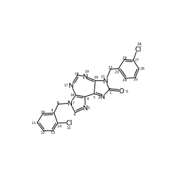 O=c1nc2c3ncn(Cc4ccccc4Cl)c3ncnc-2n1Cc1cccc(Cl)c1